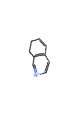 C1=CC2=C(C=[N+]C=C2)CC1